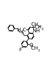 COc1cc(F)ccc1-c1ccc2c(c1CSCCc1ccccc1)C(C)=CC(C)(C)N2